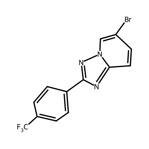 FC(F)(F)c1ccc(-c2nc3ccc(Br)cn3n2)cc1